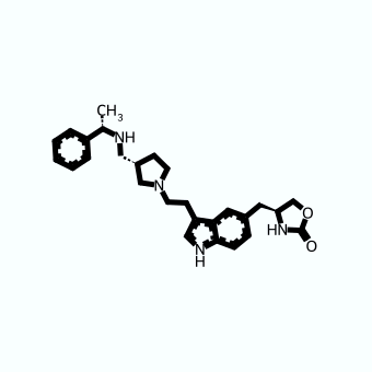 C[C@H](NC[C@@H]1CCN(CCc2c[nH]c3ccc(C[C@H]4COC(=O)N4)cc23)C1)c1ccccc1